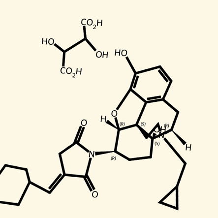 O=C(O)C(O)C(O)C(=O)O.O=C1CC(=CC2CCCCC2)C(=O)N1[C@@H]1CC[C@@]2(O)[C@H]3Cc4ccc(O)c5c4[C@@]2(CCN3CC2CC2)[C@H]1O5